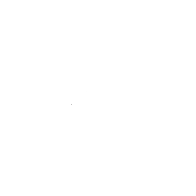 CN(C)CC1(c2ccc(I)cc2)CC1